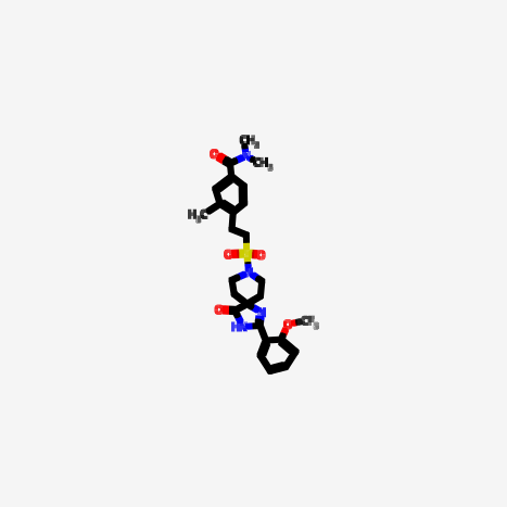 Cc1cc(C(=O)N(C)C)ccc1CCS(=O)(=O)N1CCC2(CC1)N=C(c1ccccc1OC(F)(F)F)NC2=O